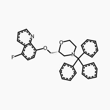 Fc1ccc(OC[C@H]2CN(C(c3ccccc3)(c3ccccc3)c3ccccc3)CCO2)c2ncccc12